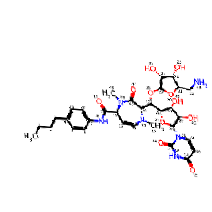 CCCCc1ccc(NC(=O)C2C=CN(C)[C@@H]([C@H](O[C@@H]3O[C@H](CN)[C@@H](O)[C@H]3O)[C@H]3O[C@@H](n4ccc(=O)[nH]c4=O)[C@H](O)[C@@H]3O)C(=O)N2C)cc1